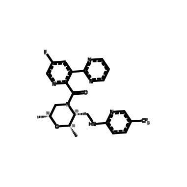 C[C@@H]1CN(C(=O)c2ncc(F)cc2-c2ncccn2)[C@H](CNc2ccc(C(F)(F)F)cn2)[C@H](C)O1